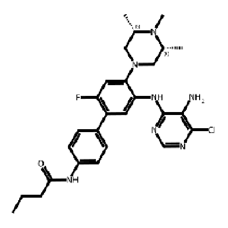 CCCC(=O)Nc1ccc(-c2cc(Nc3ncnc(Cl)c3N)c(N3C[C@@H](C)N(C)[C@@H](C)C3)cc2F)cc1